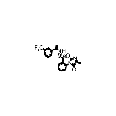 C=C(NOCc1ccccc1-n1c(OC)nn(C)c1=O)c1cccc(C(F)(F)F)c1